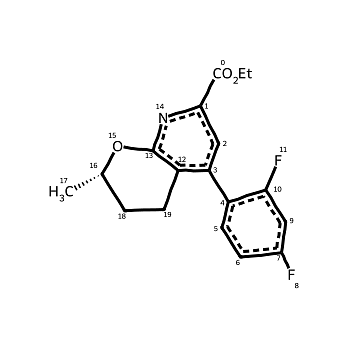 CCOC(=O)c1cc(-c2ccc(F)cc2F)c2c(n1)O[C@@H](C)CC2